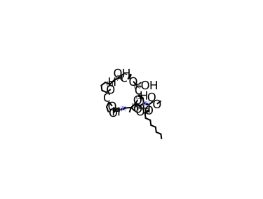 C=C1C[C@H](O)C[C@@H]2CCCC(CC3CCO[C@H](/C=C/C(C)(C)[C@]4(O)O[C@@H](C/C(=C\C(=O)OC)[C@@H]4OC(=O)CCCCCCC)C[C@H](CO)O1)O3)O2